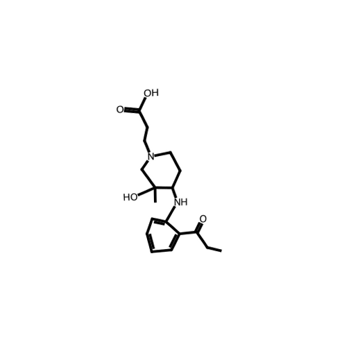 CCC(=O)c1ccccc1NC1CCN(CCC(=O)O)CC1(C)O